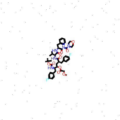 COCC(=O)OC(CC(Cc1ccc(F)cc1)C(=O)NC(C(=O)NC(Cc1ccccc1)C(=O)NC(=O)N1CCOCC1)C(C)C)C(Cc1ccc(F)cc1)NC(=O)OC(C)(C)C